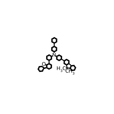 CC1(C)c2ccccc2-c2ccc(-c3ccc(N(c4ccc(-c5ccccc5)cc4)c4cccc(-c5cccc6c5oc5ccccc56)c4)cc3)cc21